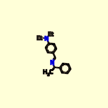 CCN(CC)c1ccc(/C=N/[C@H](C)c2ccccc2)cc1